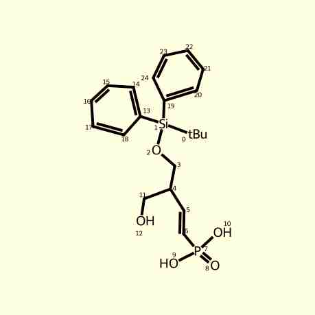 CC(C)(C)[Si](OCC(/C=C/P(=O)(O)O)CO)(c1ccccc1)c1ccccc1